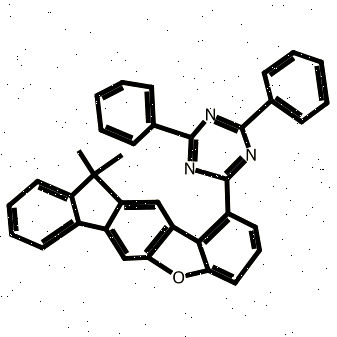 CC1(C)c2ccccc2-c2cc3oc4cccc(-c5nc(-c6ccccc6)nc(-c6ccccc6)n5)c4c3cc21